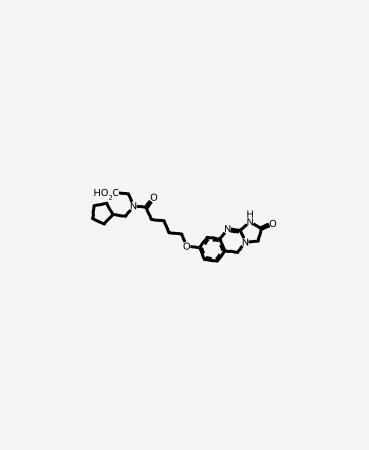 O=C(O)CN(CC1CCCC1)C(=O)CCCCOc1ccc2c(c1)N=C1NC(=O)CN1C2